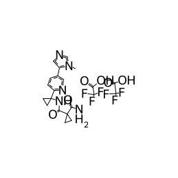 Cn1cncc1-c1ccc(C2(NC(=O)C3(C(N)=O)CC3)CC2)nc1.O=C(O)C(F)(F)F.O=C(O)C(F)(F)F